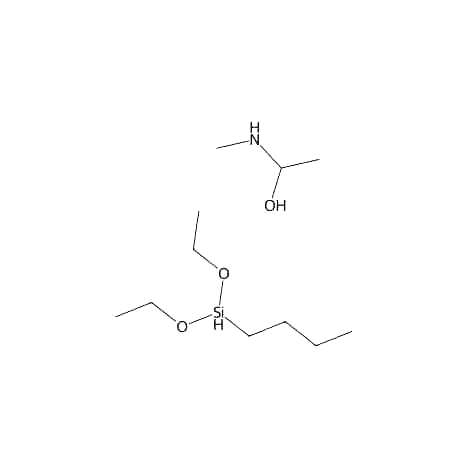 CCCC[SiH](OCC)OCC.CNC(C)O